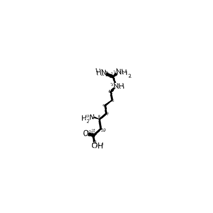 N=C(N)NCCCC[C@H](N)CC(=O)O